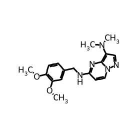 COc1ccc(CNc2ccn3ncc(N(C)C)c3n2)cc1OC